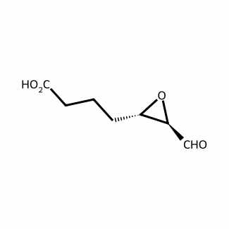 O=C[C@@H]1O[C@H]1CCCC(=O)O